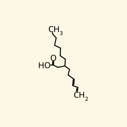 C=C/C=C/CCC(CCCCCCC)CC(=O)O